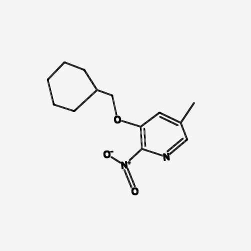 Cc1cnc([N+](=O)[O-])c(OCC2CCCCC2)c1